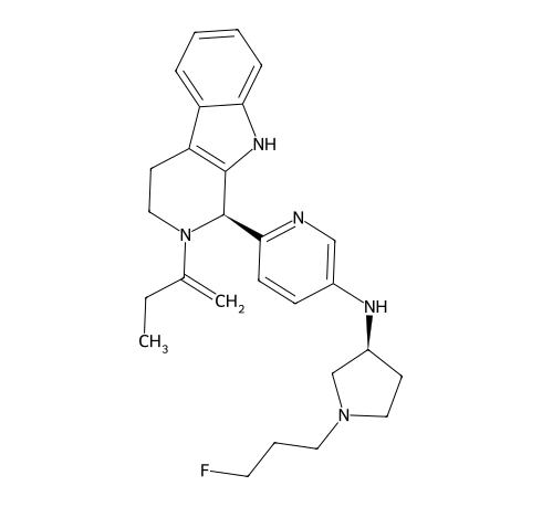 C=C(CC)N1CCc2c([nH]c3ccccc23)[C@H]1c1ccc(N[C@H]2CCN(CCCF)C2)cn1